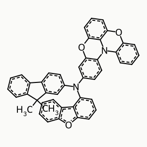 CC1(C)c2ccccc2-c2ccc(N(c3ccc4c(c3)Oc3cccc5c3N4c3ccccc3O5)c3cccc4oc5ccccc5c34)cc21